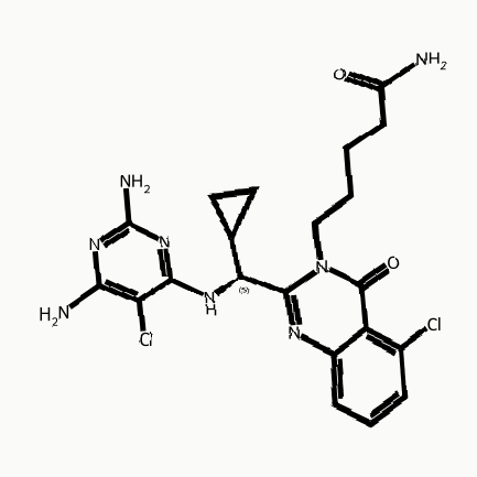 NC(=O)CCCCn1c([C@@H](Nc2nc(N)nc(N)c2Cl)C2CC2)nc2cccc(Cl)c2c1=O